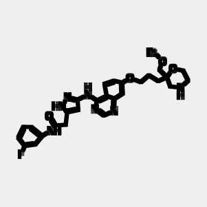 CCOCC1(CCCOc2ccc3c(Nc4cc(CC(=O)Nc5cccc(F)c5)[nH]n4)ncnc3c2)CNCCO1